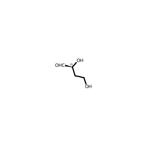 O=C[C@@H](O)CCO